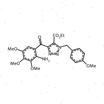 CCOC(=O)c1c(C(=O)c2cc(OC)c(OC)c(OC)c2N)nnn1Cc1ccc(OC)cc1